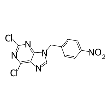 O=[N+]([O-])c1ccc(Cn2cnc3c(Cl)nc(Cl)nc32)cc1